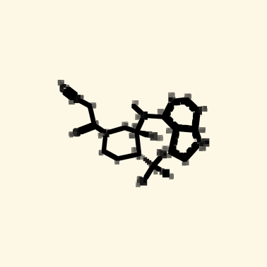 [2H]C([2H])([2H])[C@@H]1CCN(C(=O)C[N+]#[C-])C[C@]1([2H])N(C)c1ncnc2[nH]ccc12